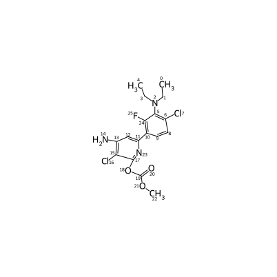 CCN(CC)c1c(Cl)ccc(-c2cc(N)c(Cl)c(OC(=O)OC)n2)c1F